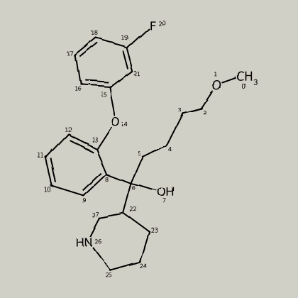 COCCCCC(O)(c1ccccc1Oc1cccc(F)c1)C1CCCNC1